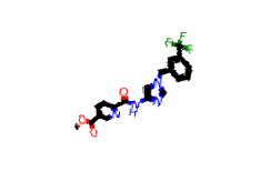 COC(=O)c1ccc(C(=O)Nc2cn(Cc3cccc(C(F)(F)F)c3)cn2)nc1